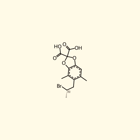 Cc1cc2c(c(C)c1C[C@H](C)Br)OC(C(=O)O)(C(=O)O)O2